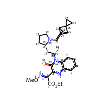 CCOC(=O)/C(=N\OC)c1nc2ccccc2n([C@@H](C)C[C@@H]2CCCN2C=C2C3CC2C32CC2)c1=O